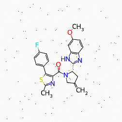 C=C1C[C@@H](c2nc3ccc(OC)cc3[nH]2)N(C(=O)c2nc(C)sc2-c2ccc(F)cc2)C1